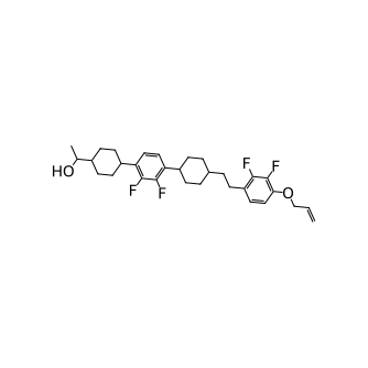 C=CCOc1ccc(CCC2CCC(c3ccc(C4CCC(C(C)O)CC4)c(F)c3F)CC2)c(F)c1F